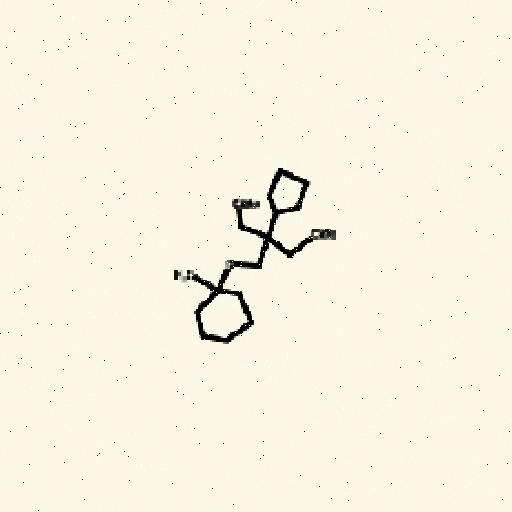 COCC(COC)(COC1(C)CCCCC1)C1CCCC1